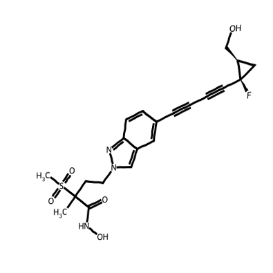 CC(CCn1cc2cc(C#CC#C[C@@]3(F)C[C@@H]3CO)ccc2n1)(C(=O)NO)S(C)(=O)=O